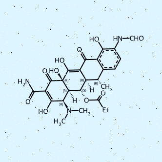 CCC(=O)O[C@H]1[C@H]2C(=C(O)[C@@]3(O)C(=O)C(C(N)=O)=C(O)[C@H](N(C)C)[C@H]13)C(=O)c1c(ccc(NC=O)c1O)[C@@H]2C